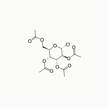 CC(=O)OC[C@H]1O[C@H](Cl)[C@@H](OC(C)=O)[C@H](OC(C)=O)[C@@H]1OC(C)=O